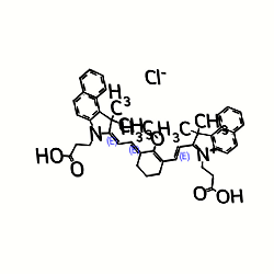 COC1=C(/C=C/C2=[N+](CCC(=O)O)c3ccc4ccccc4c3C2(C)C)CCC/C1=C\C=C1\N(CCC(=O)O)c2ccc3ccccc3c2C1(C)C.[Cl-]